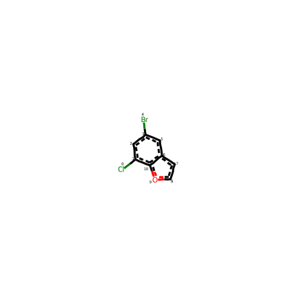 Clc1cc(Br)cc2[c]coc12